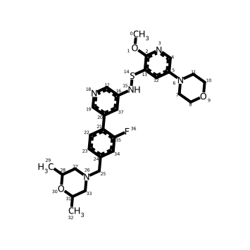 COc1ncc(N2CCOCC2)cc1SNc1cncc(-c2ccc(CN3CC(C)OC(C)C3)cc2F)c1